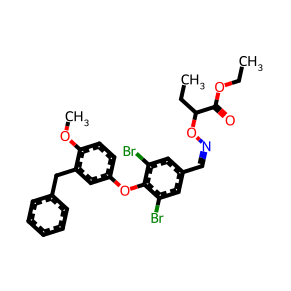 CCOC(=O)C(CC)O/N=C\c1cc(Br)c(Oc2ccc(OC)c(Cc3ccccc3)c2)c(Br)c1